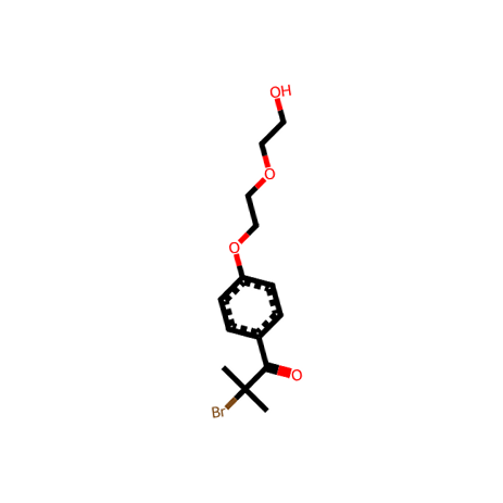 CC(C)(Br)C(=O)c1ccc(OCCOCCO)cc1